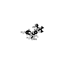 CO[C@@H](C)C(=O)N[C@@H](C(=O)N1CC[C@H]2C[C@@]3(C)CC2[C@@H](C1)C3)[C@@H](C)c1ccc(NC(=O)[C@@H](NC(=O)c2ccnn2C(C)C)C(C2CC2)C2CC2)c(F)c1